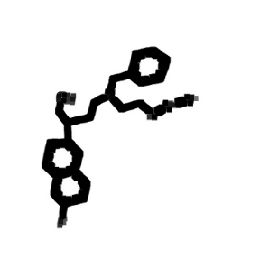 [N-]=[N+]=NCCN(CCC(CO)c1ccc2cc(F)ccc2c1)Cc1ccccc1